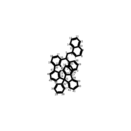 c1ccc(C(Cc2cccc3ccccc23)c2cccc3c2sc2c(C4(c5ccccc5)c5ccccc5-c5ccccc54)cccc23)cc1